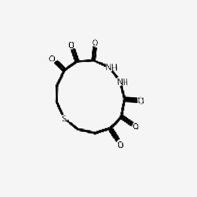 O=C1CCSCCC(=O)C(=O)C(=O)NNC(=O)C1=O